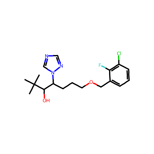 CC(C)(C)C(O)C(CCCOCc1cccc(Cl)c1F)n1cncn1